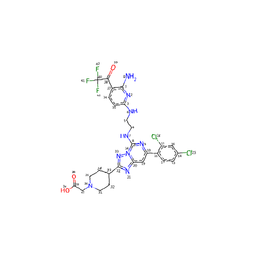 Nc1nc(NCCNc2nc(-c3ccc(Cl)cc3Cl)cc3nc(C4CCN(CC(=O)O)CC4)nn23)ccc1C(=O)C(F)(F)F